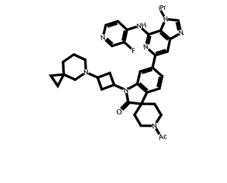 CC(=O)N1CCC2(CC1)C(=O)N(C1CC(N3CCCC4(CC4)C3)C1)c1cc(-c3cc4ncn(C(C)C)c4c(Nc4ccncc4F)n3)ccc12